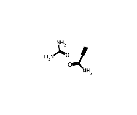 C#CC(N)=O.NC(N)=O